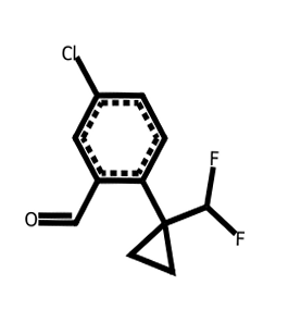 O=Cc1cc(Cl)ccc1C1(C(F)F)CC1